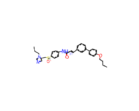 CCCCOc1ccc(-c2cccc(/C=C/C(=O)Nc3ccc([S@@+]([O-])Cc4cncn4CCC)cc3)c2)cc1